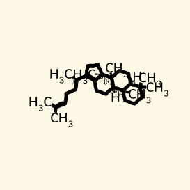 CC(C)=CCC[C@@H](C)C1=C2CC[C@@H]3[C@@]4(C)CCCC(C)(C)[C@@H]4CC[C@@]3(C)[C@]2(C)CC1